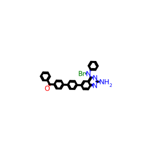 Nc1nc(N(Br)c2ccccc2)c2cc(-c3ccc(-c4ccc(C(=O)c5ccccc5)cc4)cc3)ccc2n1